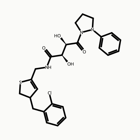 O=C(NCC1=CC(Cc2ccccc2Cl)CS1)[C@H](O)[C@@H](O)C(=O)N1CCCN1c1ccccc1